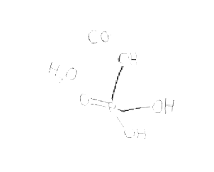 O.O=P(O)(O)O.[Co]